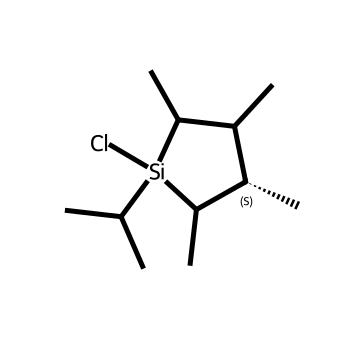 CC1C(C)[Si](Cl)(C(C)C)C(C)[C@H]1C